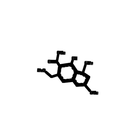 COCc1cc2cc(OC)cc(OC)c2c(O)c1C(=O)OC